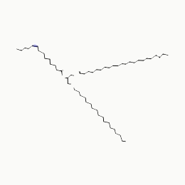 CCCC/C=C\CCCCCCCC(=O)OC(COCCCCCCCCCCCCCCCCCC)COC(=O)CCCCCCCCCCCCCCCCCCCCC